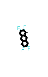 Fc1[c]c2cc3cc(F)c(F)[c]c3cc2cc1F